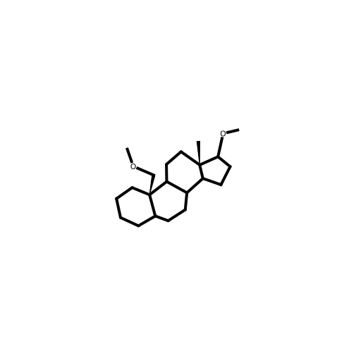 COC[C@]12CCCCC1CCC1C3CCC(OC)[C@@]3(C)CCC12